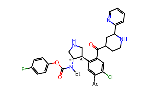 CCN(C(=O)Oc1ccc(F)cc1)[C@@H]1CNC[C@H]1c1cc(C(C)=O)c(Cl)cc1C(=O)C1CCNC(c2ccccn2)C1